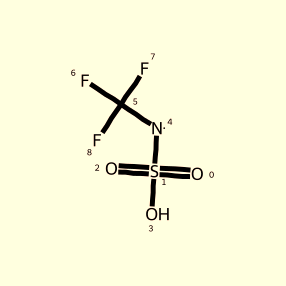 O=S(=O)(O)[N]C(F)(F)F